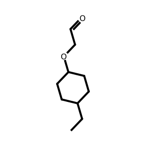 CCC1CCC(OCC=O)CC1